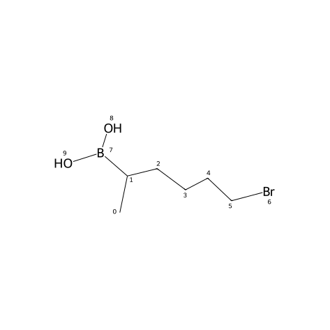 CC(CCCCBr)B(O)O